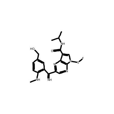 CNc1ccc(CO)cc1C(=N)c1cnc2c(n1)c(C(=O)NC(C)C)cn2SF